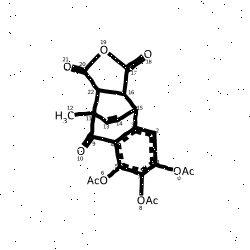 CC(=O)Oc1cc2c(c(OC(C)=O)c1OC(C)=O)C(=O)C1(C)C=CC2C2C(=O)OC(=O)C21